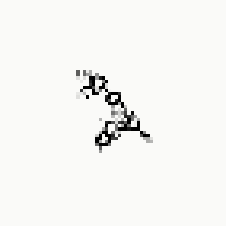 C[C@H](NC(=O)c1cc(C#N)cnc1NCc1ccc(-c2cnc(N)c(CN(C)C)n2)cc1)c1ccc(F)cc1